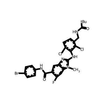 Cn1c(Nc2c(Cl)ccc(CNC(=O)C(C)(C)C)c2Cl)nc2cc(C(=O)Nc3ccc(Br)cc3)c(F)cc21